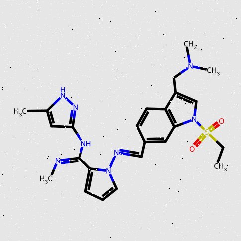 CCS(=O)(=O)n1cc(CN(C)C)c2ccc(/C=N/n3cccc3/C(=N\C)Nc3cc(C)[nH]n3)cc21